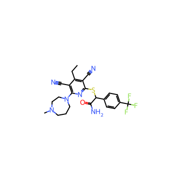 CCc1c(C#N)c(SC(C(N)=O)c2ccc(C(F)(F)F)cc2)nc(N2CCCN(C)CC2)c1C#N